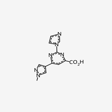 Cn1cc(-c2cc(C(=O)O)nc(-n3ccnc3)n2)cn1